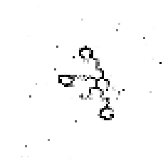 CCC(CSSc1ccccn1)C(CSSc1ccccn1)C(CC)CSSc1ccccn1